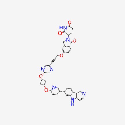 O=C1CCC(N2Cc3cc(OCC#Cc4cnc(O[C@H]5C[C@H](Oc6ccc(-c7ccc8c(c7)[nH]c7ccncc78)cn6)C5)cn4)ccc3C2=O)C(=O)N1